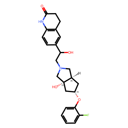 O=C1CCc2cc(C(O)CN3C[C@H]4C[C@H](Oc5ccccc5F)C[C@@]4(O)C3)ccc2N1